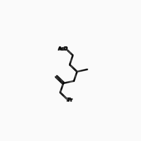 C=C(CC(C)C)CC(C)CCOC(C)=O